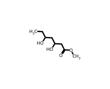 CCC(O)CC(O)CC(=O)OC